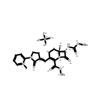 C[n+]1ccccc1N1CC/C(=C\C2=C(C(=O)OC(C)(C)C)N3C(=O)[C@@H](NC(=O)OC(C)(C)C)[C@H]3CC2)C1=O.F[B-](F)(F)F